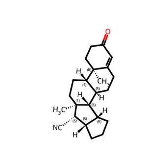 C[C@]12CC[C@H]3[C@@H](CCC4=CC(=O)CC[C@@]43C)[C@@H]1[C@@H]1CCC[C@@H]1[C@@H]2C#N